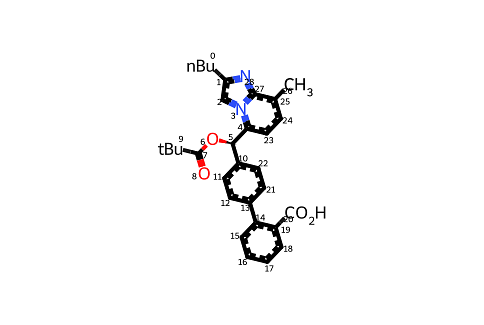 CCCCc1cn2c([C@H](OC(=O)C(C)(C)C)c3ccc(-c4ccccc4C(=O)O)cc3)ccc(C)c2n1